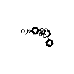 O=[N+]([O-])c1ccc(O[P@@]2(=O)OCC[C@@H](c3ccccc3)O2)cc1